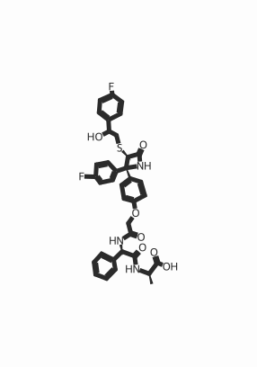 C[C@@H](NC(=O)[C@H](NC(=O)COc1ccc([C@]2(c3ccc(F)cc3)NC(=O)[C@@H]2SCC(O)c2ccc(F)cc2)cc1)c1ccccc1)C(=O)O